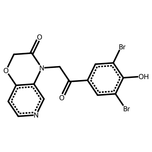 O=C(CN1C(=O)COc2ccncc21)c1cc(Br)c(O)c(Br)c1